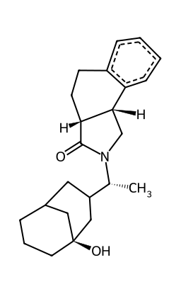 C[C@H](C1CC2CCC[C@](O)(C2)C1)N1C[C@H]2c3ccccc3CC[C@H]2C1=O